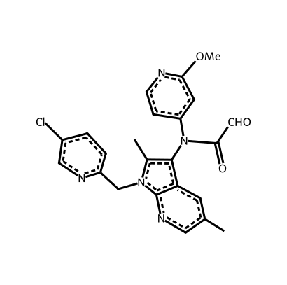 COc1cc(N(C(=O)C=O)c2c(C)n(Cc3ccc(Cl)cn3)c3ncc(C)cc23)ccn1